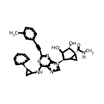 CNC(=O)[C@]12CC1[C@@H](n1cnc3c(NC4C[C@H]4c4ccccc4)nc(C#Cc4cccc(C)c4)nc31)C(O)[C@@H]2O